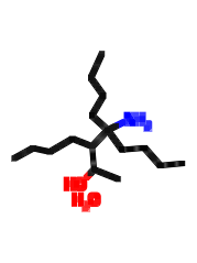 CCCCC(C(C)O)C(N)(CCCC)CCCC.O